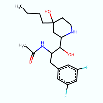 CCCCC1(O)CCNC(C(O)C(Cc2cc(F)cc(F)c2)NC(C)=O)C1